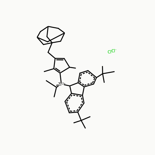 CC1=[C]([Zr+2](=[C](C)C)[CH]2c3ccc(C(C)(C)C)cc3-c3cc(C(C)(C)C)ccc32)C(C)C=C1CC12CC3CC(CC(C3)C1)C2.[Cl-].[Cl-]